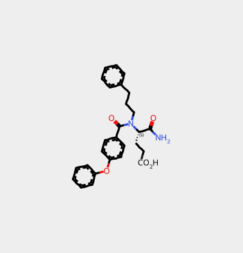 NC(=O)[C@H](CCC(=O)O)N(CCCc1ccccc1)C(=O)c1ccc(Oc2ccccc2)cc1